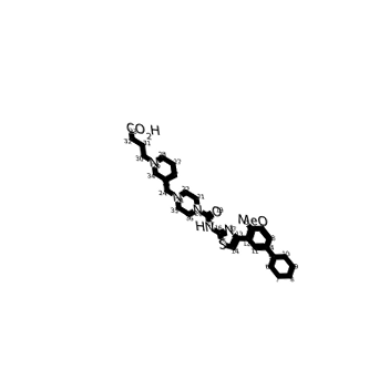 COc1ccc(C2CCCCC2)cc1-c1csc(NC(=O)N2CCN(CC3CCCN(CCCC(=O)O)C3)CC2)n1